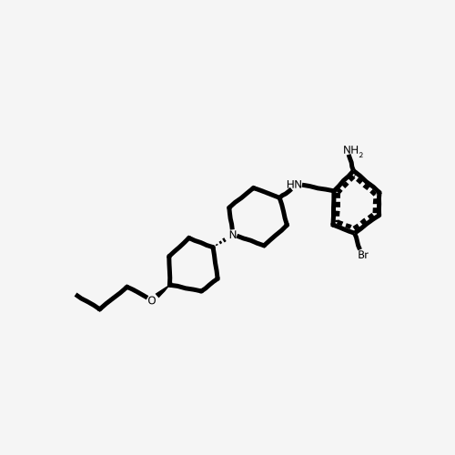 CCCO[C@H]1CC[C@H](N2CCC(Nc3cc(Br)ccc3N)CC2)CC1